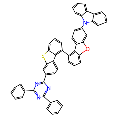 c1ccc(-c2nc(-c3ccccc3)nc(-c3ccc4c(c3)sc3cccc(-c5cccc6oc7cc(-n8c9ccccc9c9ccccc98)ccc7c56)c34)n2)cc1